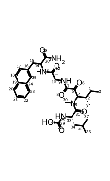 CC[C@H](C)C(C(=O)C(=O)NCC(=O)NC(Cc1ccc2ccccc2c1)C(N)=O)N(C)C(=O)[C@H](CC(C)C)NC(=O)O